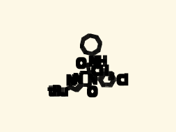 CC(C)(C)c1cc2n(n1)CC(C)(C(=O)NC1CCCCCCC1)N(c1ccc(Cl)cc1)C2=O